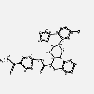 CNC(=O)c1cnc(NC(=O)C(Cc2ccccc2)N2CON(c3cc(Cl)ccc3-n3cnnn3)CO2)cn1